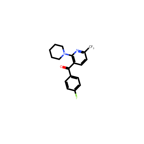 O=C(c1ccc(F)cc1)c1ccc(C(F)(F)F)nc1N1CCCCC1